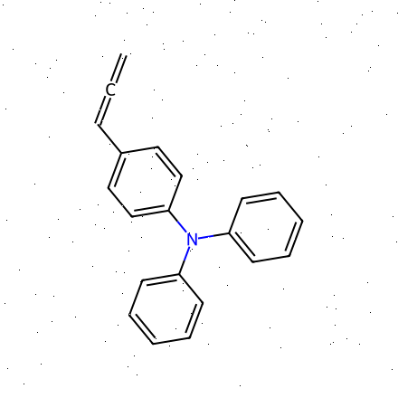 C=C=Cc1ccc(N(c2ccccc2)c2ccccc2)cc1